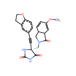 COC1=CC2C(=O)N(C[C@@]3(C#Cc4ccc5c(c4)CCO5)NC(=O)NC3=O)CC2C=C1